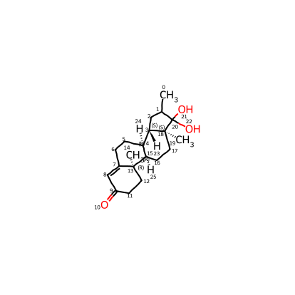 CC1C[C@H]2[C@@H]3CCC4=CC(=O)CC[C@]4(C)[C@@H]3CC[C@]2(C)C1(O)O